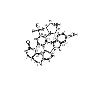 O=c1ccc2cnc3ccc(-c4cc5cc(O)ccc5[nH]4)cc3c2n1-c1ccc(N2CCNCC2)c(C(F)(F)F)c1